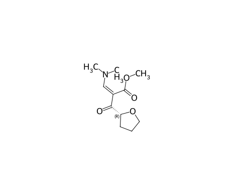 COC(=O)C(=CN(C)C)C(=O)[C@H]1CCCO1